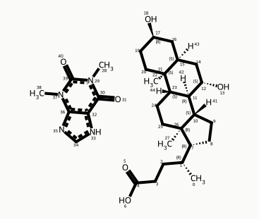 C[C@H](CCC(=O)O)[C@H]1CC[C@H]2[C@@H]3[C@@H](O)C[C@@H]4C[C@H](O)CC[C@]4(C)[C@H]3CC[C@]12C.Cn1c(=O)c2[nH]cnc2n(C)c1=O